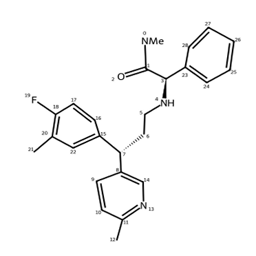 CNC(=O)[C@H](NCC[C@H](c1ccc(C)nc1)c1ccc(F)c(C)c1)c1ccccc1